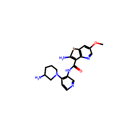 COc1cnc2c(C(=O)Nc3cnccc3N3CCCC(N)C3)c(N)sc2c1